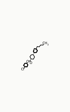 CCCCCc1ccc([C@H]2CC[C@H](C(=O)Oc3ccc(Cl)cc3)CC2)cc1